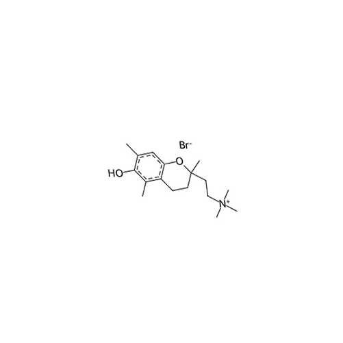 Cc1cc2c(c(C)c1O)CCC(C)(CC[N+](C)(C)C)O2.[Br-]